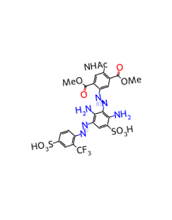 COC(=O)c1cc(NC(C)=O)c(C(=O)OC)cc1/N=N/c1c(N)c(/N=N/c2ccc(S(=O)(=O)O)cc2C(F)(F)F)cc(S(=O)(=O)O)c1N